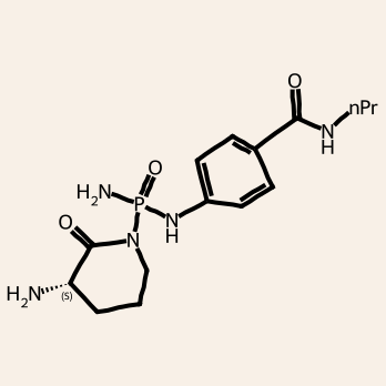 CCCNC(=O)c1ccc(NP(N)(=O)N2CCC[C@H](N)C2=O)cc1